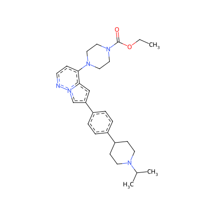 CCOC(=O)N1CCN(c2ccnn3cc(-c4ccc(C5CCN(C(C)C)CC5)cc4)cc23)CC1